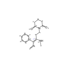 C=N/C(=C(/CCN1C(=O)CCCC1=O)NC)c1ccccc1